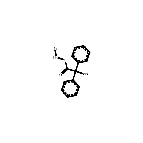 CCCC(C(=O)ONCC)(c1ccccc1)c1ccccc1